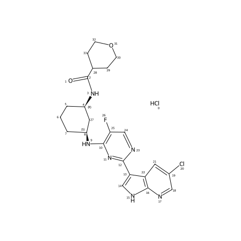 Cl.O=C(N[C@@H]1CCC[C@H](Nc2nc(-c3c[nH]c4ncc(Cl)cc34)ncc2F)C1)C1CCOCC1